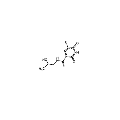 CC(O)CNC(=O)n1cc(F)c(=O)[nH]c1=O